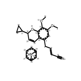 COc1cc(CC=CC#N)c2c(c1OC)OC(C1CC1)C=C2.c1cc2cc(c1)N2